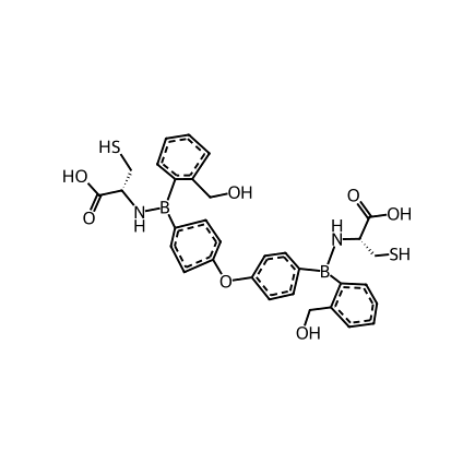 O=C(O)[C@H](CS)NB(c1ccc(Oc2ccc(B(N[C@@H](CS)C(=O)O)c3ccccc3CO)cc2)cc1)c1ccccc1CO